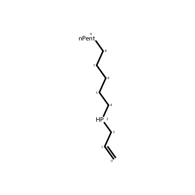 C=CCPCCCCCCCCCC